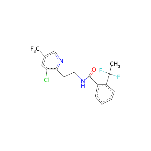 CC(F)(F)c1ccccc1C(=O)NCCc1ncc(C(F)(F)F)cc1Cl